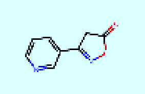 O=C1CC(c2cccnc2)=NO1